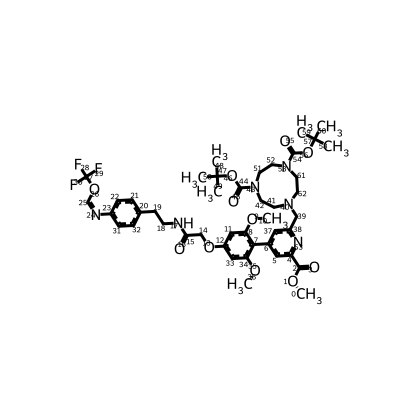 COC(=O)c1cc(-c2c(OC)cc(OCC(=O)NCCc3ccc(/N=C\OC(F)(F)F)cc3)cc2OC)cc(CN2CCN(C(=O)OC(C)(C)C)CCN(C(=O)OC(C)(C)C)CC2)n1